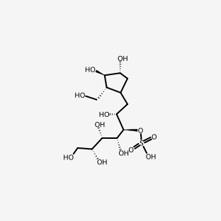 O=S(=O)(O)O[C@@H]([C@H](O)[C@@H](O)[C@H](O)CO)[C@H](O)CC1C[C@@H](O)[C@H](O)[C@H]1CO